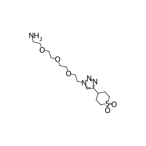 NCCOCCOCCOCCn1cc(C2CCS(=O)(=O)CC2)nn1